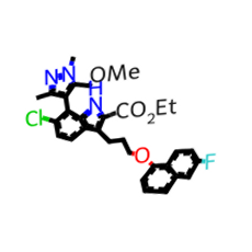 CCOC(=O)c1[nH]c2c(-c3c(C)nn(C)c3COC)c(Cl)ccc2c1CCCOc1cccc2cc(F)ccc12